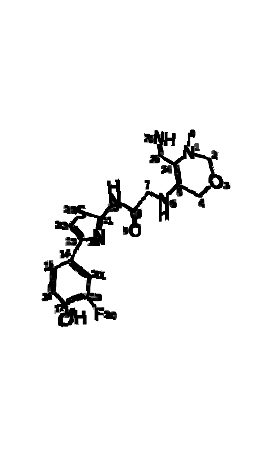 CN1COCC(NCC(=O)Nc2nc(-c3c#cc(O)c(F)c3)cs2)=C1C=N